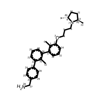 Cc1c(OCCCN2[C@H](C)CC[C@H]2C)cccc1-c1cccc(-c2ccc(CN)cc2)c1C